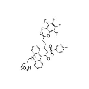 Cc1ccc(S(=O)(=O)N(CCCC(=O)Oc2c(F)c(F)c(F)c(F)c2F)C(=O)c2c3ccccc3[n+](CCCS(=O)(=O)O)c3ccccc23)cc1